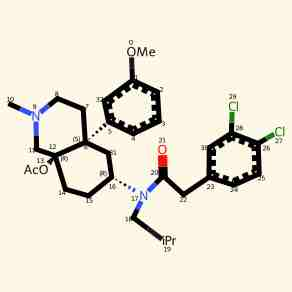 COc1cccc([C@@]23CCN(C)C[C@@]2(OC(C)=O)CC[C@@H](N(CC(C)C)C(=O)Cc2ccc(Cl)c(Cl)c2)C3)c1